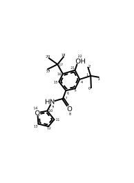 CC(C)(C)c1cc(C(=O)Nc2ccco2)cc(C(C)(C)C)c1O